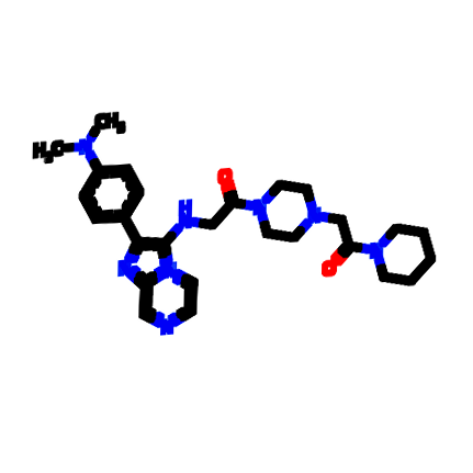 CN(C)c1ccc(-c2nc3cnccn3c2NCC(=O)N2CCN(CC(=O)N3CCCCC3)CC2)cc1